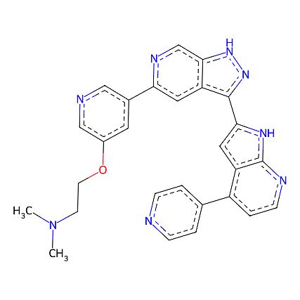 CN(C)CCOc1cncc(-c2cc3c(-c4cc5c(-c6ccncc6)ccnc5[nH]4)n[nH]c3cn2)c1